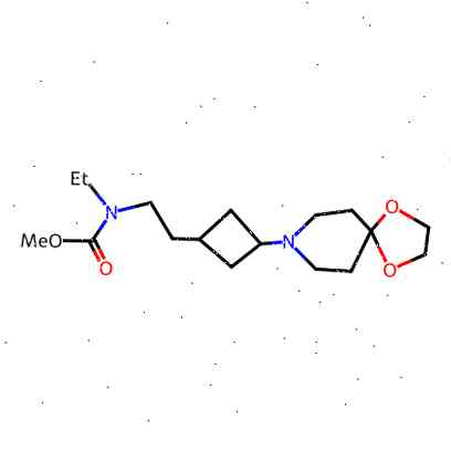 CCN(CCC1CC(N2CCC3(CC2)OCCO3)C1)C(=O)OC